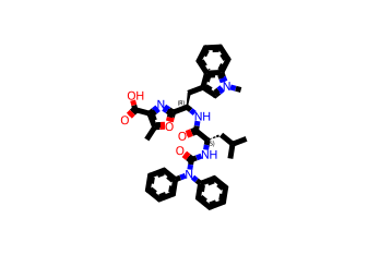 Cc1oc([C@@H](Cc2cn(C)c3ccccc23)NC(=O)[C@H](CC(C)C)NC(=O)N(c2ccccc2)c2ccccc2)nc1C(=O)O